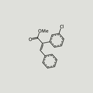 COC(=O)C(=Cc1ccccc1)c1cccc(Cl)c1